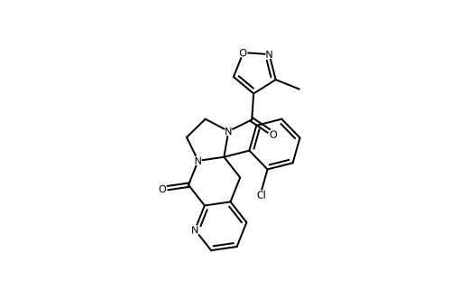 Cc1nocc1C(=O)N1CCN2C(=O)c3ncccc3CC12c1ccccc1Cl